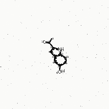 CC(=O)c1cc2cc(O)ccc2[nH]1